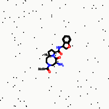 CNC(=O)N1CC[C@H]2CC[C@@H](C(=O)NC3COc4ccccc43)N2C(=O)[C@@H](N)C1